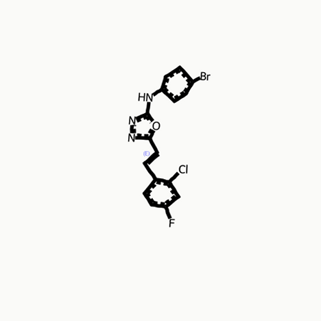 Fc1ccc(/C=C/c2nnc(Nc3ccc(Br)cc3)o2)c(Cl)c1